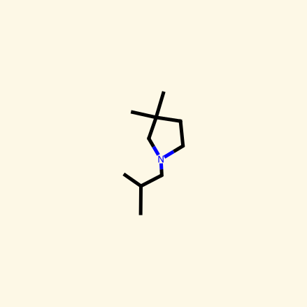 CC(C)CN1CCC(C)(C)C1